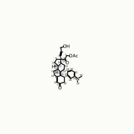 CC(=O)OCC(=O)[C@@]1(C#CCO)CC[C@H]2[C@@H]3CCC4=CC(=O)CCC4=C3[C@@H](c3ccc(N(C)C)cc3)C[C@@]21C